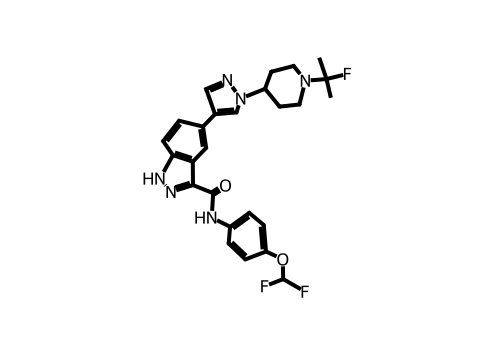 CC(C)(F)N1CCC(n2cc(-c3ccc4[nH]nc(C(=O)Nc5ccc(OC(F)F)cc5)c4c3)cn2)CC1